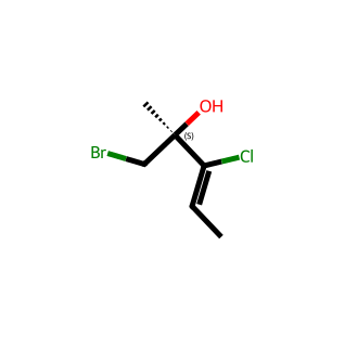 CC=C(Cl)[C@](C)(O)CBr